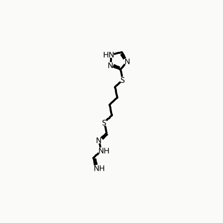 N=CN/N=C/SCCCCSc1nc[nH]n1